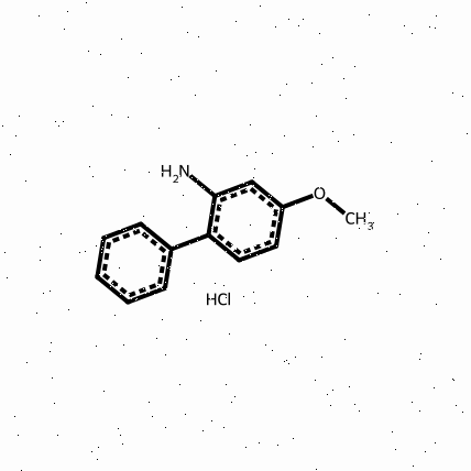 COc1ccc(-c2ccccc2)c(N)c1.Cl